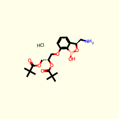 CC(C)(C)C(=O)OC[C@H](COc1cccc2c1B(O)O[C@@H]2CN)OC(=O)C(C)(C)C.Cl